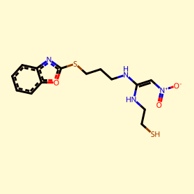 O=[N+]([O-])C=C(NCCS)NCCCSc1nc2ccccc2o1